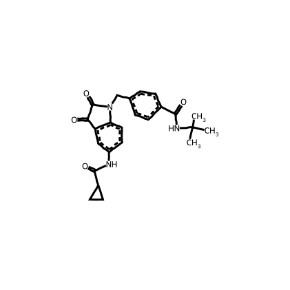 CC(C)(C)NC(=O)c1ccc(CN2C(=O)C(=O)c3cc(NC(=O)C4CC4)ccc32)cc1